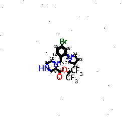 O=C(OC(C(F)(F)F)C(F)(F)F)C1CNCCN1Cc1ccc(Br)cc1N1CCCC1